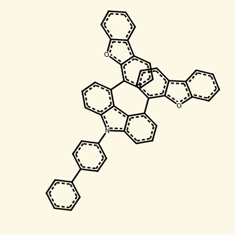 c1ccc(-c2ccc(-n3c4cccc(-c5cccc6c5oc5ccccc56)c4c4c(-c5cccc6c5oc5ccccc56)cccc43)cc2)cc1